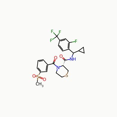 CS(=O)(=O)c1cccc(C(=O)N2CCSC[C@H]2C(=O)NC(c2ccc(C(F)(F)F)cc2F)C2CC2)c1